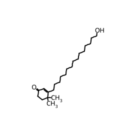 CC1(C)CCC(=O)C=C1CCCCCCCCCCCCCCCO